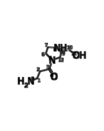 NCCC(=O)N1CCN[C@H](CO)C1